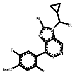 CCc1nc2c(-c3cc(F)c(OC)cc3C)nncc2n1C(CC)C1CC1